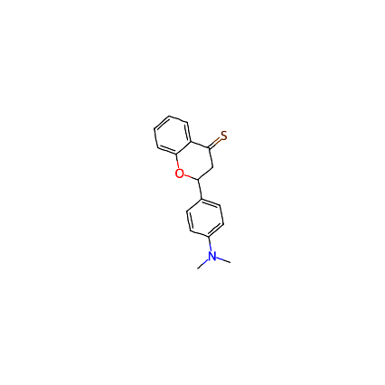 CN(C)c1ccc(C2CC(=S)c3ccccc3O2)cc1